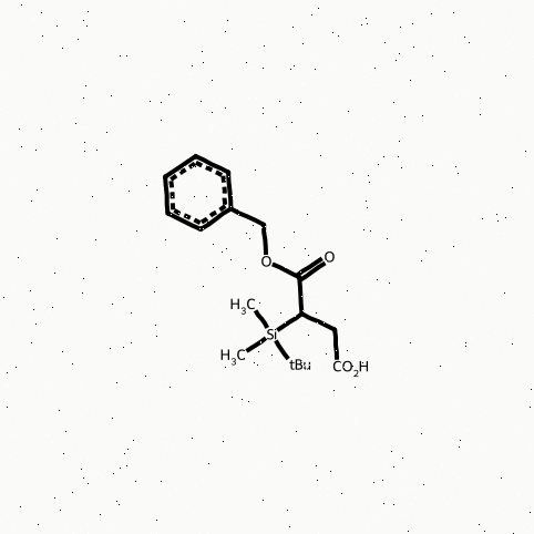 CC(C)(C)[Si](C)(C)C(CC(=O)O)C(=O)OCc1ccccc1